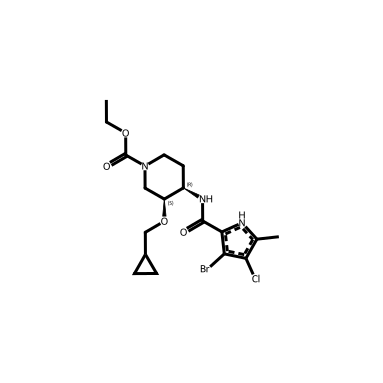 CCOC(=O)N1CC[C@@H](NC(=O)c2[nH]c(C)c(Cl)c2Br)[C@@H](OCC2CC2)C1